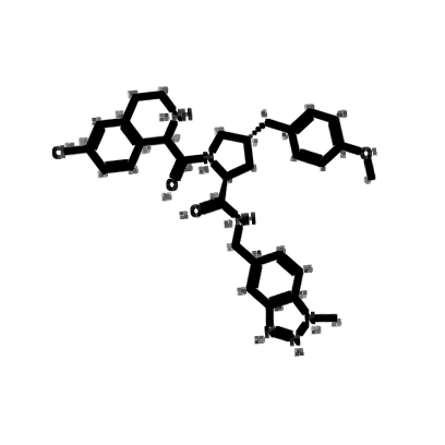 COc1ccc(C[C@@H]2C[C@@H](C(=O)NCc3ccc4c(c3)nnn4C)N(C(=O)C3NCCc4cc(Cl)ccc43)C2)cc1